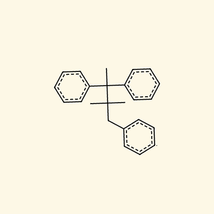 CC(C)(Cc1cc[c]cc1)C(C)(c1ccccc1)c1ccccc1